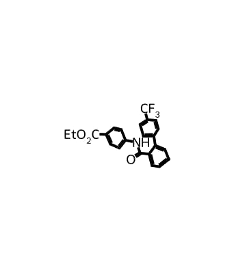 CCOC(=O)c1ccc(NC(=O)c2ccccc2-c2ccc(C(F)(F)F)cc2)cc1